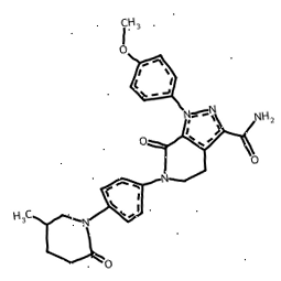 COc1ccc(-n2nc(C(N)=O)c3c2C(=O)N(c2ccc(N4CC(C)CCC4=O)cc2)CC3)cc1